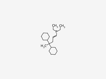 CCP(C=CCC(C)(C1CCCCC1)C1CCCCC1)CC